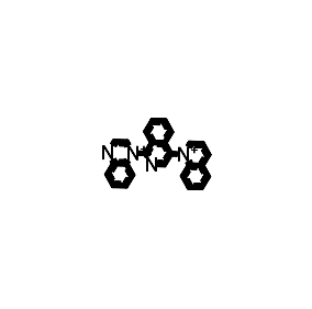 c1ccc2c(c1)ccc[n+]2-c1cnc(-[n+]2ccnc3ccccc32)c2ccccc12